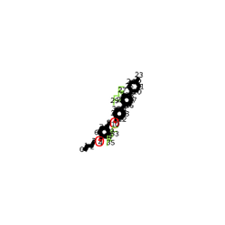 C=CCCOc1ccc(COc2ccc(-c3ccc(C4CCC(C)CC4)c(F)c3F)cc2)c(F)c1F